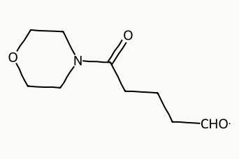 O=[C]CCCC(=O)N1CCOCC1